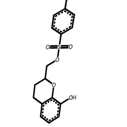 Cc1ccc(S(=O)(=O)OCC2CCc3cccc(O)c3O2)cc1